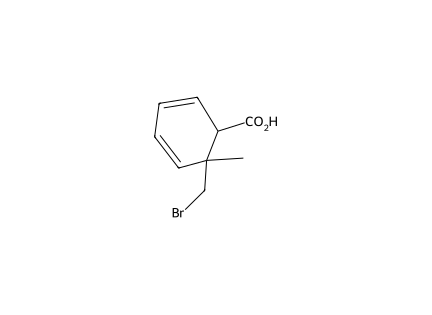 CC1(CBr)C=CC=CC1C(=O)O